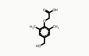 Cc1cc(CO)cc(C)c1OCC(=O)O